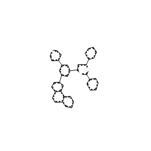 c1ccc(-c2cc(-c3cc(-c4ccncc4)cc(-c4ccc5ccc6ccccc6c5c4)c3)nc(-c3ccccc3)n2)cc1